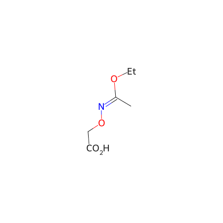 CCO/C(C)=N/OCC(=O)O